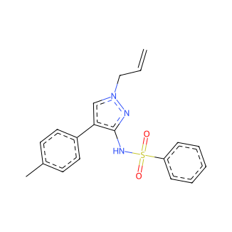 C=CCn1cc(-c2ccc(C)cc2)c(NS(=O)(=O)c2ccccc2)n1